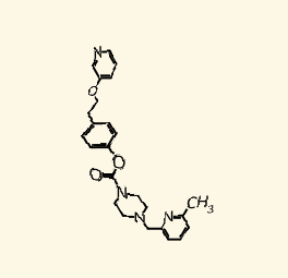 Cc1cccc(CN2CCN(C(=O)Oc3ccc(CCOc4cccnc4)cc3)CC2)n1